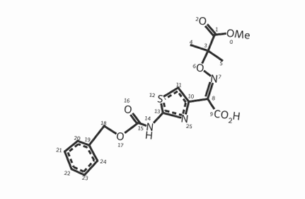 COC(=O)C(C)(C)O/N=C(/C(=O)O)c1csc(NC(=O)OCc2ccccc2)n1